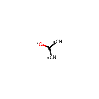 N#CC([O])C#N